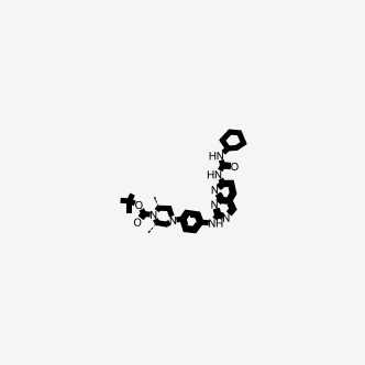 C[C@@H]1CN(c2ccc(Nc3ncc4ccc(NC(=O)NC5CCCCC5)nc4n3)cc2)C[C@H](C)N1C(=O)OC(C)(C)C